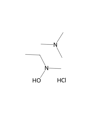 CCN(C)O.CN(C)C.Cl